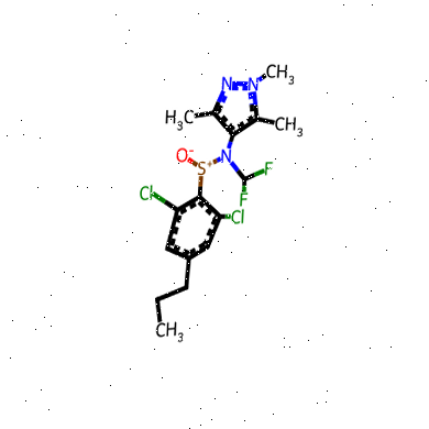 CCCc1cc(Cl)c([S+]([O-])N(c2c(C)nn(C)c2C)C(F)F)c(Cl)c1